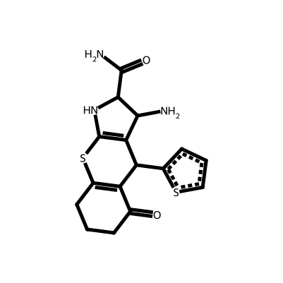 NC(=O)C1NC2=C(C(c3cccs3)C3=C(CCCC3=O)S2)C1N